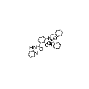 Cc1c(C(=O)Nc2ccccn2)cccc1N(Cc1ccccc1)S(=O)(=O)c1ccccc1